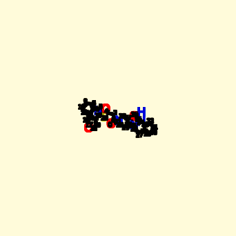 O=C(CC1OCN(c2ccccc2)C(C2CCOCC2)S1)N1CCC(N2CCc3ccccc3NC2=O)CC1